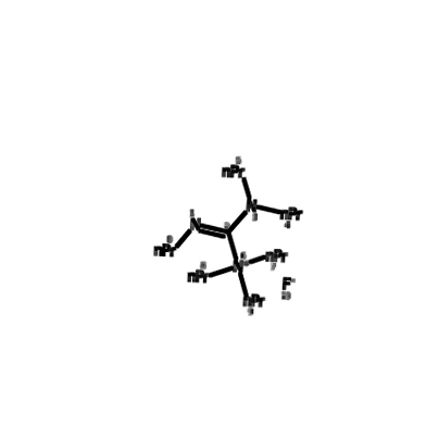 CCCN=C(N(CCC)CCC)[N+](CCC)(CCC)CCC.[F-]